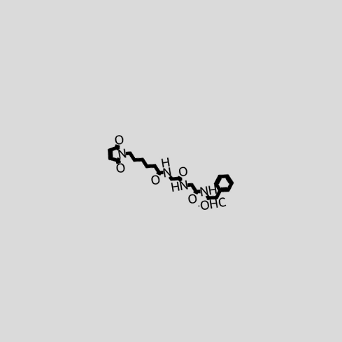 O=[C][C@H](Cc1ccccc1)NC(=O)CNC(=O)CNC(=O)CCCCCN1C(=O)C=CC1=O